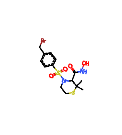 CC1(C)SCCN(S(=O)(=O)c2ccc(CBr)cc2)C1C(=O)NO